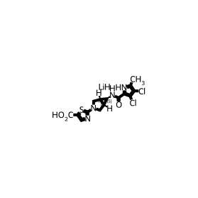 Cc1[nH]c(C(=O)N[C@H]2[C@@H]3CN(c4ncc(C(=O)O)s4)C[C@@H]32)c(Cl)c1Cl.[LiH]